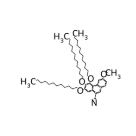 CCCCCCCCCCCCOc1cc2c(C#N)cc3ccc(OC)cc3c2c(OCCCCCCCCCCCC)c1OCCCCCCCCCCCC